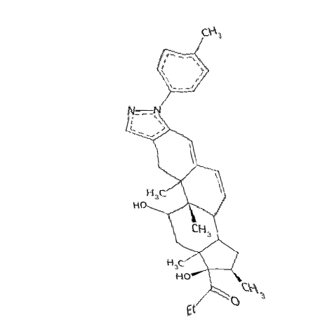 CCC(=O)[C@@]1(O)[C@H](C)CC2C3C=CC4=Cc5c(cnn5-c5ccc(C)cc5)CC4(C)[C@@]3(C)C(O)CC21C